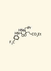 CCOC(=O)CCC(=O)N(CC(C)C)NC(=O)Nc1ccc(C(F)(F)F)cc1